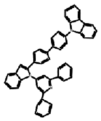 c1ccc(-c2cc(-n3c(-c4ccc(-c5ccc(-n6c7ccccc7c7ccccc76)cc5)cc4)cc4ccccc43)cc(-c3ccccc3)n2)cc1